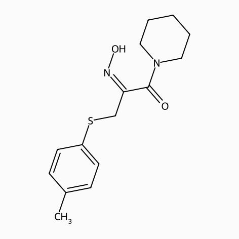 Cc1ccc(SCC(=NO)C(=O)N2CCCCC2)cc1